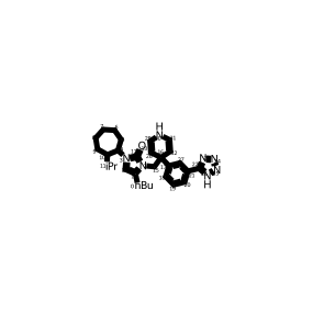 CCCCc1cn(C2CCCCCC2C(C)C)c(=O)n1CC1(c2cccc(-c3nnn[nH]3)c2)C=CNC=C1